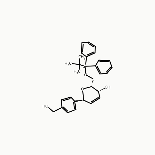 CC(C)(C)[Si](OC[C@H]1O[C@H](c2ccc(CO)cc2)C=C[C@H]1O)(c1ccccc1)c1ccccc1